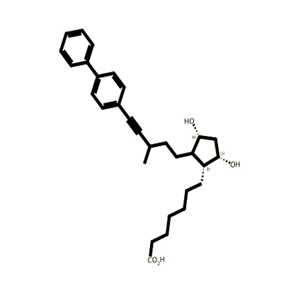 CC(C#Cc1ccc(-c2ccccc2)cc1)CCC1[C@H](O)C[C@H](O)[C@@H]1CCCCCCC(=O)O